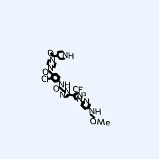 COCCNc1ccc(-n2cc(-c3cnc(C(=O)Nc4ccc(C(=O)N5CCN(C(=O)C6CCNCC6)CC5)c(Cl)c4)n3C)c(C(F)(F)F)n2)nc1